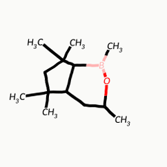 CB1OC(C)CC2C1C(C)(C)CC2(C)C